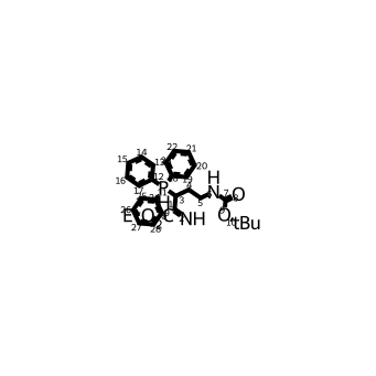 CCOC(=O)C(=N)C(CCNC(=O)OC(C)(C)C)[PH](c1ccccc1)(c1ccccc1)c1ccccc1